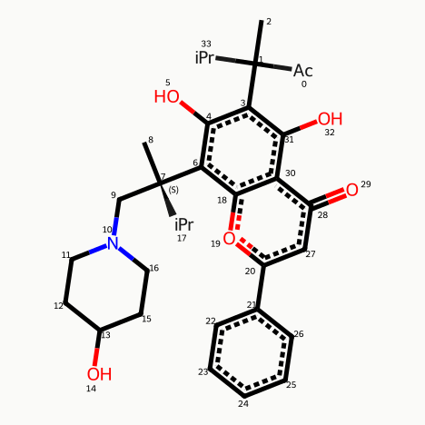 CC(=O)C(C)(c1c(O)c([C@@](C)(CN2CCC(O)CC2)C(C)C)c2oc(-c3ccccc3)cc(=O)c2c1O)C(C)C